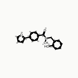 CN(Cc1ccccc1O)C(=O)c1ccc(-c2ccco2)cc1